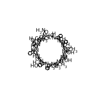 CCCC[C@H]1C(=O)N[C@H](CC(=O)O)C(=O)N[C@@H](CC(=O)O)C(=O)N[C@@H](C(C)C)C(=O)N(C)C(Cc2ccccc2)C(=O)N[C@@H](Cc2ccc(O)cc2)C(=O)N(C)CC(=O)N[C@@H](Cc2c[nH]c3ccccc23)C(=O)N[C@@H](Cc2ccc(O)cc2)C(=O)N[C@@H](CC(C)C)C(=O)N[C@H](C(=O)NCC(N)=O)CSCC(=O)N[C@@H](Cc2ccccc2)C(=O)N(C)[C@@H](Cc2ccccc2)C(=O)N1C